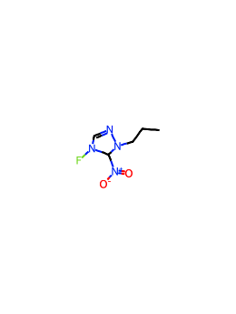 CCCN1N=CN(F)C1[N+](=O)[O-]